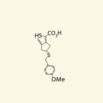 COc1ccc(CSC2CC3=C[SH]C(C(=O)O)=C3C2)cc1